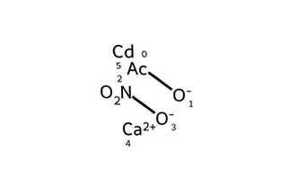 CC(=O)[O-].O=[N+]([O-])[O-].[Ca+2].[Cd]